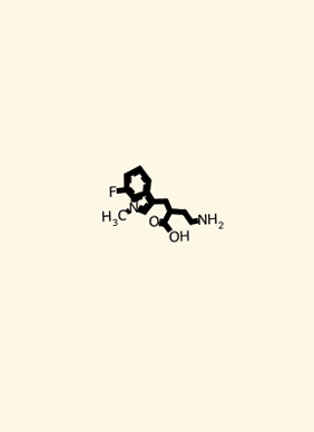 Cn1cc(CC(CCN)C(=O)O)c2cccc(F)c21